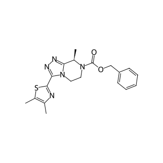 Cc1nc(-c2nnc3n2CCN(C(=O)OCc2ccccc2)[C@@H]3C)sc1C